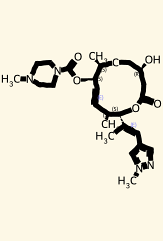 C/C(=C\c1cnn(C)c1)[C@H]1OC(=O)C[C@H](O)CC[C@H](C)[C@H](OC(=O)N2CCN(C)CC2)/C=C/[C@@H]1C